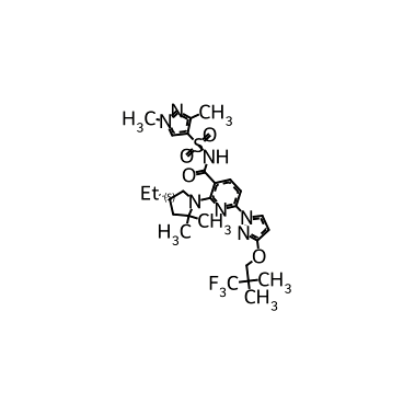 CC[C@@H]1CN(c2nc(-n3ccc(OCC(C)(C)C(F)(F)F)n3)ccc2C(=O)NS(=O)(=O)c2cn(C)nc2C)C(C)(C)C1